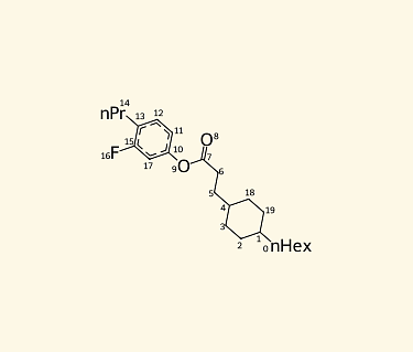 CCCCCCC1CCC(CCC(=O)Oc2ccc(CCC)c(F)c2)CC1